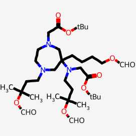 CC(C)(C)OC(=O)CN1CCN(CCC(C)(C)OC=O)CC(CCCCOC=O)(N(CCC(C)(C)OC=O)CC(=O)OC(C)(C)C)C1